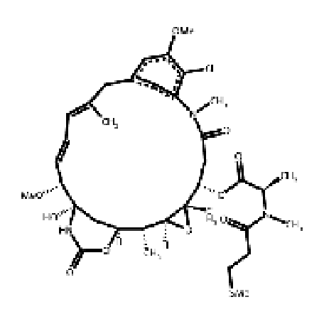 COc1cc2cc(c1Cl)N(C)C(=O)C[C@H](OC(=O)[C@@H](C)N(C)C(=O)CCSC)[C@]1(C)O[C@H]1[C@H](C)[C@@H]1C[C@@](O)(NC(=O)O1)[C@H](OC)/C=C/C=C(\C)C2